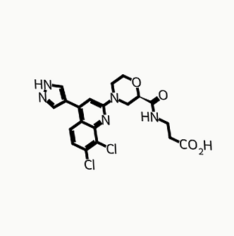 O=C(O)CCNC(=O)[C@H]1CN(c2cc(-c3cn[nH]c3)c3ccc(Cl)c(Cl)c3n2)CCO1